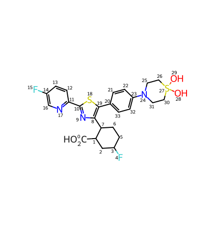 O=C(O)C1CC(F)CCC1c1nc(-c2ccc(F)cn2)sc1-c1ccc(N2CCS(O)(O)CC2)cc1